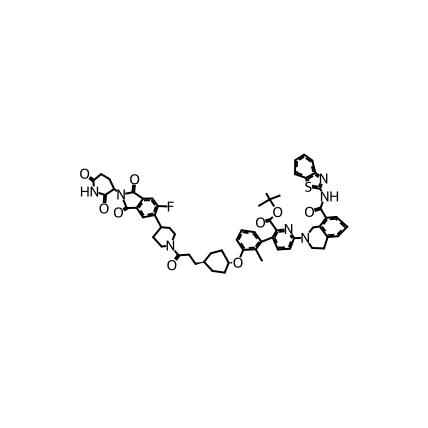 Cc1c(O[C@H]2CC[C@H](CCC(=O)N3CCC(c4cc5c(cc4F)C(=O)N(C4CCC(=O)NC4=O)C5=O)CC3)CC2)cccc1-c1ccc(N2CCc3cccc(C(=O)Nc4nc5ccccc5s4)c3C2)nc1C(=O)OC(C)(C)C